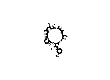 CCC1/C=C(\C)C(F)C(C)CC(OC)C2OC(O)(C(=O)C(=O)N3CCCCC3C(=O)OC(C(C)=CC3(N)CCCC(OC)C3)C(C)CCC1=O)C(C)CC2OC